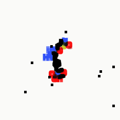 COc1ncc(CC(=O)Nc2cc(C3CCC(C[C@H]4COCCN4C(=O)O)C3)[nH]n2)s1